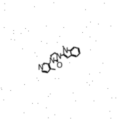 Cc1ccncc1N1CCN(c2cc3ccccc3n2C)C1=O